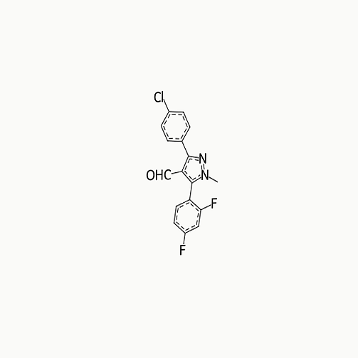 Cn1nc(-c2ccc(Cl)cc2)c(C=O)c1-c1ccc(F)cc1F